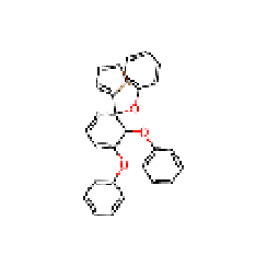 C1=CC(Oc2ccccc2)(c2cccs2)C(Oc2ccccc2)C(Oc2ccccc2)=C1